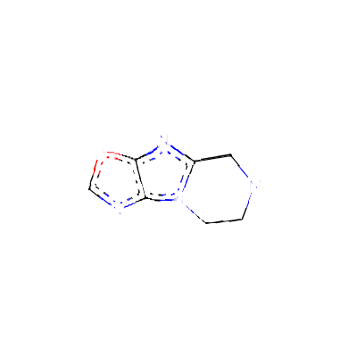 c1nc2c(nc3n2CCNC3)o1